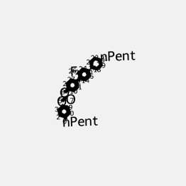 CCCCCc1ccc(OC(=O)Oc2ccc(-c3ccc([C@H]4CC[C@H](CCCCC)CC4)cc3F)cc2)cc1